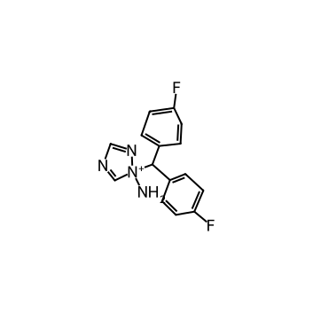 N[N+]1(C(c2ccc(F)cc2)c2ccc(F)cc2)C=NC=N1